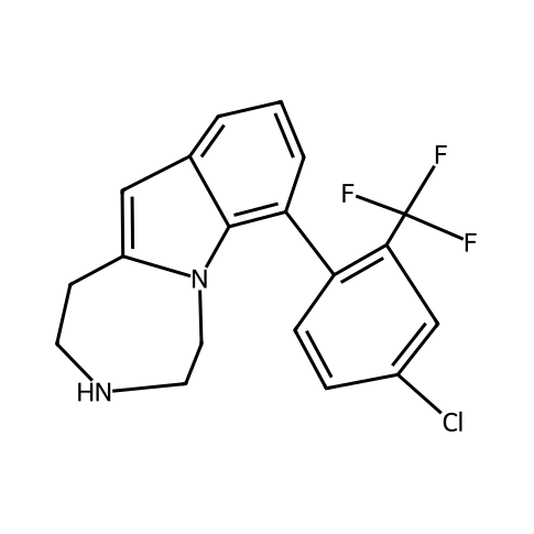 FC(F)(F)c1cc(Cl)ccc1-c1cccc2cc3n(c12)CCNCC3